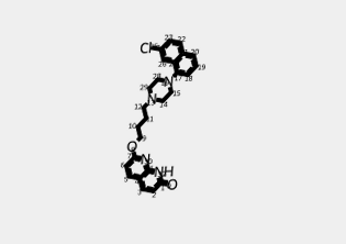 O=c1ccc2ccc(OCCCCN3CCN(c4cccc5ccc(Cl)cc45)CC3)nc2[nH]1